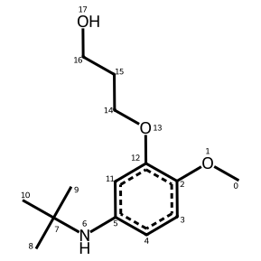 COc1ccc(NC(C)(C)C)cc1OCCCO